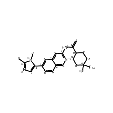 C=C(Nc1cc2cc(-c3cnc(C)n3C)ccc2cn1)C1CCC(F)(F)CC1